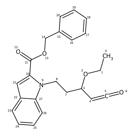 CCOC(C=C=O)CCn1c(C(=O)OCc2ccccc2)cc2ccccc21